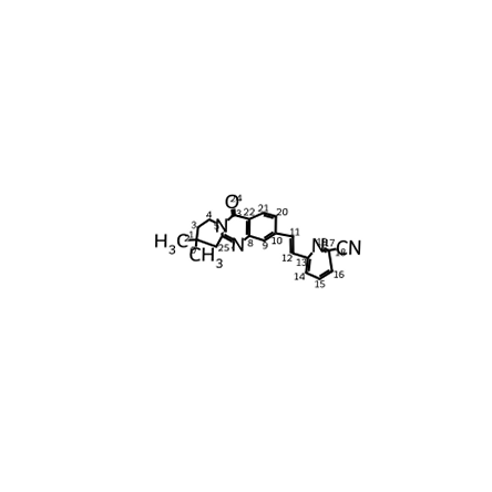 CC1(C)CCn2c(nc3cc(C=Cc4cccc(C#N)n4)ccc3c2=O)C1